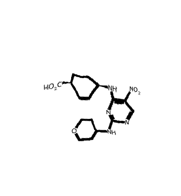 O=C(O)[C@H]1CC[C@@H](Nc2nc(NC3CCOCC3)ncc2[N+](=O)[O-])CC1